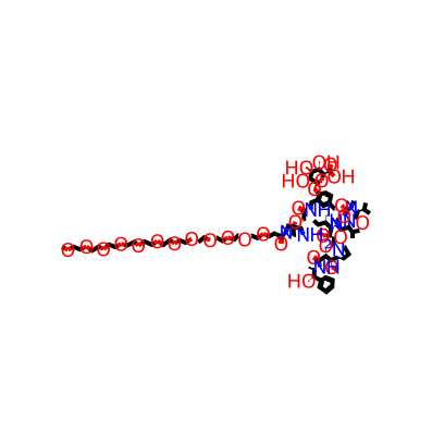 CC[C@H](C)[C@@H]([C@@H](CC(=O)N1CCC[C@H]1[C@H](OC)[C@@H](C)C(=O)N[C@H](C)[C@@H](O)c1ccccc1)OC)N(C)C(=O)[C@@H](NC(=O)[C@H](C(C)C)N(C)C(=O)OCc1ccc(O[C@@H]2O[C@H](C(=O)O)[C@@H](O)[C@H](O)[C@H]2O)c(CNC(=O)COC2(CN)CN(C(=O)CCOCCOCCOCCOCCOCCOCCOCCOCCOCCOCCOCCOC)C2)c1)C(C)C